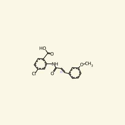 COc1cccc(/C=C/C(=O)Nc2cc(Cl)ccc2C(=O)O)c1